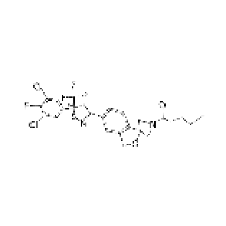 CCCCC(=O)N1CC2(C1)OCc1cc(C3=NS[C@@](c4cc(Cl)c(F)c(Cl)c4)(C(F)(F)F)C3)ccc12